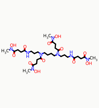 CN(O)C(=O)CCC(=O)NCCCN(CCCCN(CCCNC(=O)CCC(=O)N(C)O)C(=O)CCC(=O)N(C)O)C(=O)CCC(=O)N(C)O